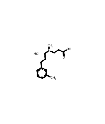 Cc1cccc(CCCN(C)CCC(=O)O)c1.Cl